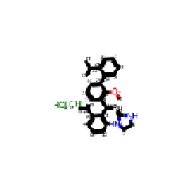 COc1c([C](=[Ru]=[C]2NCCN2)c2ccccc2C(C)C)cccc1-c1ccccc1C(C)C.Cl.Cl